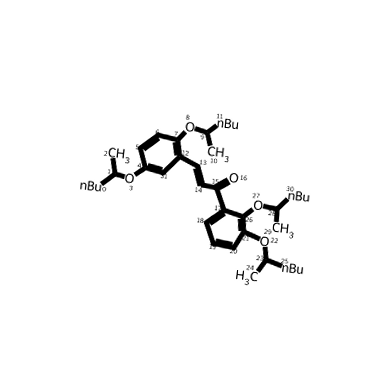 CCCCC(C)Oc1ccc(OC(C)CCCC)c(C=CC(=O)c2cccc(OC(C)CCCC)c2OC(C)CCCC)c1